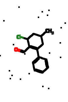 CC1CC(c2ccccc2)=C(C=O)C(Cl)C1